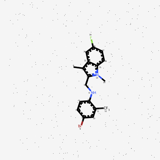 Cc1c(CNc2ccc(Br)cc2C(F)(F)F)n(C)c2ccc(F)cc12